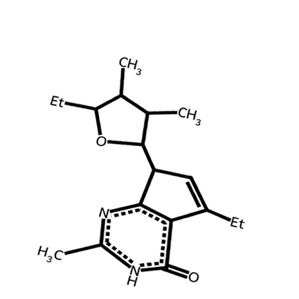 CCC1=CC(C2OC(CC)C(C)C2C)c2nc(C)[nH]c(=O)c21